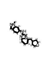 Cn1ncc2ccc(Nc3nc4cccc(CC5CCOCC5)n4n3)cc21